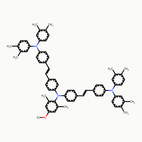 CCOc1cc(C)c(N(c2ccc(/C=C/c3ccc(N(c4ccc(C)c(C)c4)c4ccc(C)c(C)c4)cc3)cc2)c2ccc(/C=C/c3ccc(N(c4ccc(C)c(C)c4)c4ccc(C)c(C)c4)cc3)cc2)c(C)c1